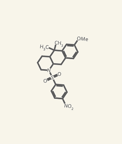 COc1ccc2c(c1)C(C)(C)C1CCCN(S(=O)(=O)c3ccc([N+](=O)[O-])cc3)C1C2